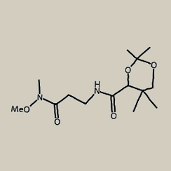 CON(C)C(=O)CCNC(=O)C1OC(C)(C)OCC1(C)C